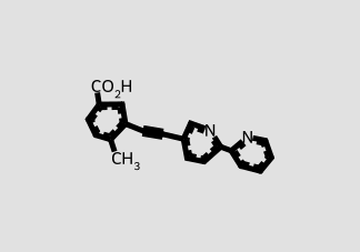 Cc1ccc(C(=O)O)cc1C#Cc1ccc(-c2ccccn2)nc1